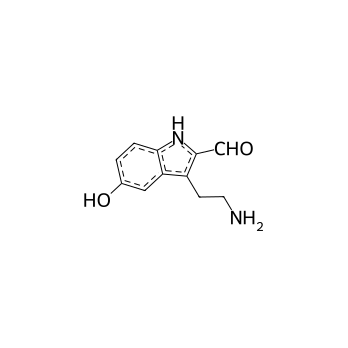 NCCc1c(C=O)[nH]c2ccc(O)cc12